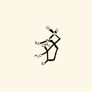 CCC1CCC2(CS(=O)(=O)N2C(C)=O)C1(C)C